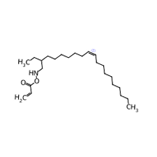 C=CC(=O)ONCC(CC)CCCCCC/C=C\CCCCCCCCC